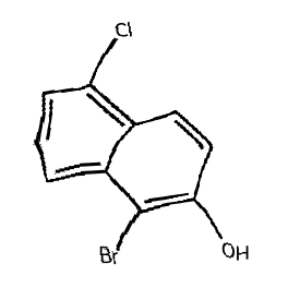 Oc1ccc2c(Cl)cccc2c1Br